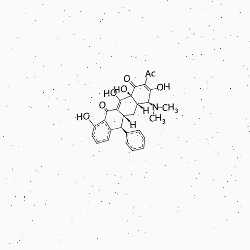 CC(=O)C1=C(O)[C@@H](N(C)C)[C@@H]2C[C@H]3C(=C(O)[C@]2(O)C1=O)C(=O)c1c(O)cccc1[C@@H]3c1ccccc1